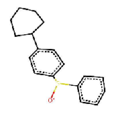 [O-][S+](c1ccccc1)c1ccc(C2CCCCC2)cc1